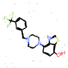 Oc1ccc(N2CCN(Cc3cccc(C(F)(F)F)c3)CC2)c2ncsc12